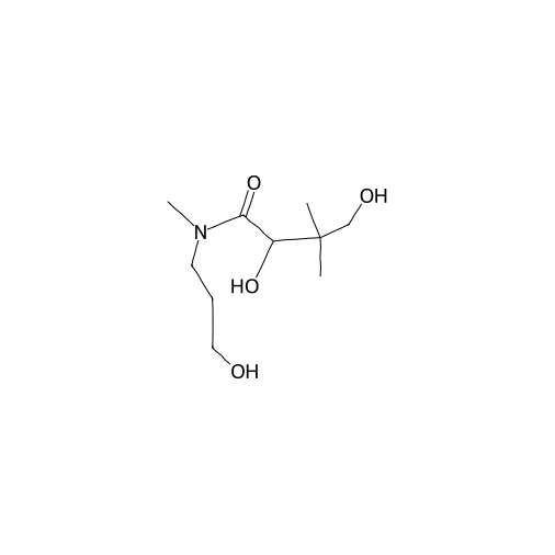 CN(CCCO)C(=O)C(O)C(C)(C)CO